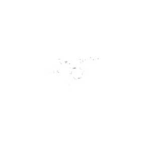 CCCCCCCCCNc1ccc(C(=O)OCC)cc1NC(=O)OC(C)(C)C